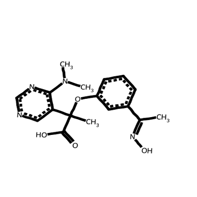 CC(=NO)c1cccc(OC(C)(C(=O)O)c2cncnc2N(C)C)c1